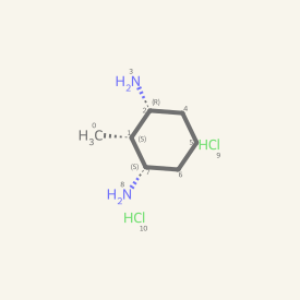 C[C@@H]1[C@H](N)CCC[C@@H]1N.Cl.Cl